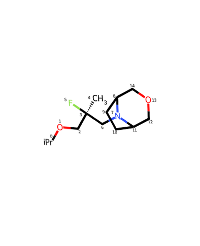 CC(C)OC[C@@](C)(F)CN1C2CCC1COC2